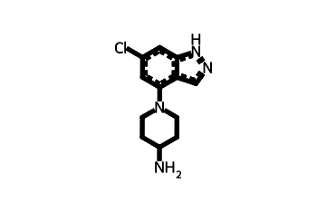 NC1CCN(c2cc(Cl)cc3[nH]ncc23)CC1